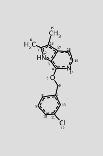 Cc1[nH]c2c(OCc3cccc(Cl)c3)nccc2c1C